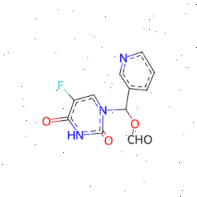 O=COC(c1cccnc1)n1cc(F)c(=O)[nH]c1=O